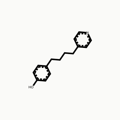 Oc1ccc(CCCCc2ccncc2)cc1